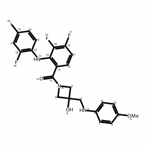 COc1ccc(NCC2(O)CN(C(=O)c3ccc(F)c(F)c3Nc3ccc(I)cc3F)C2)cc1